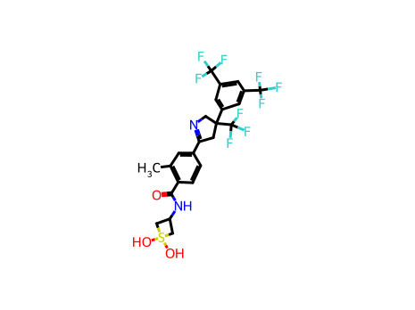 Cc1cc(C2=NCC(c3cc(C(F)(F)F)cc(C(F)(F)F)c3)(C(F)(F)F)C2)ccc1C(=O)NC1CS(O)(O)C1